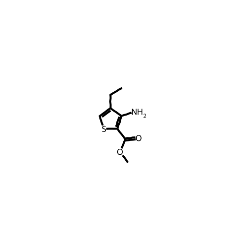 CCc1csc(C(=O)OC)c1N